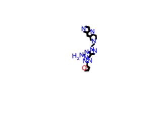 Nc1nc2c(cnn2CCN2CCc3nc4ccncc4cc3C2)c2nc(-c3ccco3)nn12